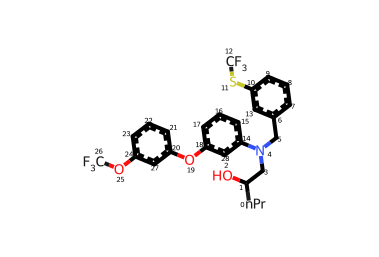 CCCC(O)CN(Cc1cccc(SC(F)(F)F)c1)c1cccc(Oc2cccc(OC(F)(F)F)c2)c1